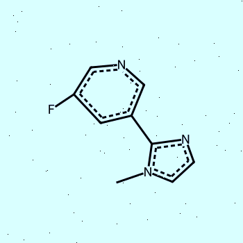 Cn1ccnc1-c1cncc(F)c1